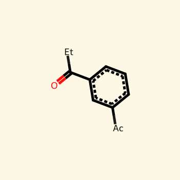 CCC(=O)c1cccc(C(C)=O)c1